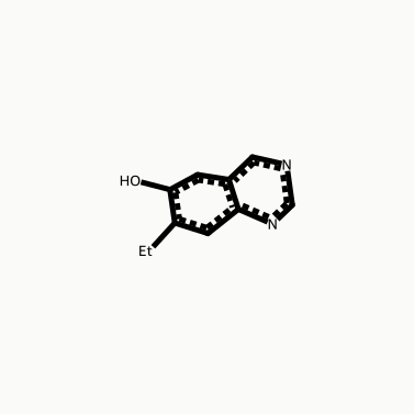 CCc1cc2ncncc2cc1O